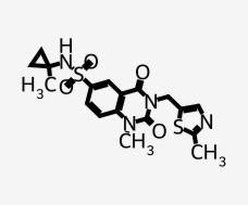 Cc1ncc(Cn2c(=O)c3cc(S(=O)(=O)NC4(C)CC4)ccc3n(C)c2=O)s1